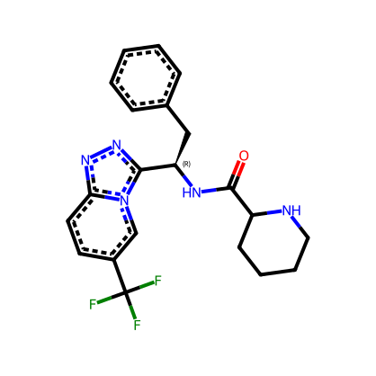 O=C(N[C@H](Cc1ccccc1)c1nnc2ccc(C(F)(F)F)cn12)C1CCCCN1